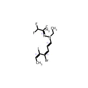 C\C=C(I)/C(Br)=C\C=C\N(CC)/N=C(\C)C(F)F